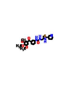 COc1cc(C(=O)c2cccc(NC(=O)NCC3CSC(c4cccnc4)N3)c2)cc(OC)c1OC